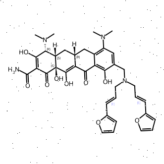 CN(C)c1cc(CN(C/C=C/c2ccco2)C/C=C/c2ccco2)c(O)c2c1C[C@H]1C[C@H]3[C@@H](N(C)C)C(O)=C(C(N)=O)C(=O)[C@@]3(O)C(O)=C1C2=O